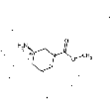 COC(=O)N1CCC[C@@H](N)C1